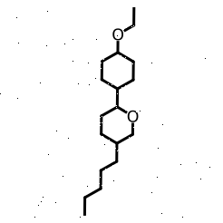 CCCCCC1CCC(C2CCC(OCC)CC2)OC1